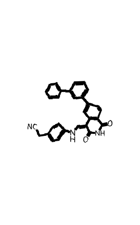 N#CCc1ccc(NC=C2C(=O)NC(=O)c3ccc(-c4cccc(-c5ccccc5)c4)cc32)cc1